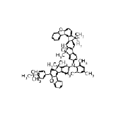 Cc1cc(C)c(N(c2ccc3c(c2)C(C)(C)c2cc4c(cc2-3)C(C)(C)c2ccc3oc5ccccc5c3c2-4)c2ccc3c(c2)C(C)(C)c2cc(-c4ccc(C(C)(C)C)cc4)c4oc5ccccc5c4c2-3)c(C)c1